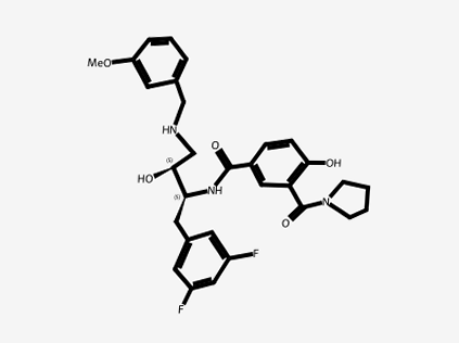 COc1cccc(CNC[C@H](O)[C@H](Cc2cc(F)cc(F)c2)NC(=O)c2ccc(O)c(C(=O)N3CCCC3)c2)c1